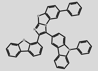 c1ccc(-c2ccc3oc4nc(-c5cccc6c5oc5ccccc56)c(-c5ccc6c(c5)c5ccccc5n6-c5ccccc5)n4c3c2)cc1